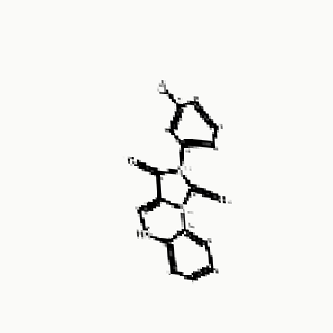 O=c1c2c[nH]c3ccccc3n-2c(=O)n1-c1cccc(Cl)c1